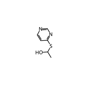 CC(O)Sc1ccncn1